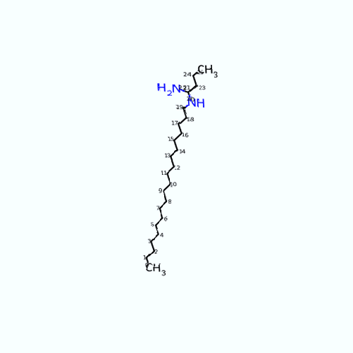 CCCCCCCCCCCCCCCCCCCCNC(N)CCC